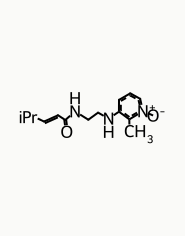 Cc1c(NCCNC(=O)/C=C/C(C)C)ccc[n+]1[O-]